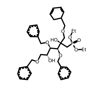 CCOP(=O)(C[C@@](O)(COCC1C=CC=CC1)[C@@H](OCc1ccccc1)[C@H](OCc1ccccc1)[C@H](O)COCc1ccccc1)OCC